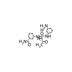 CC(=O)/C(=N/Nc1cccc(C(N)=O)c1)C(O)Nc1cccc(N)c1